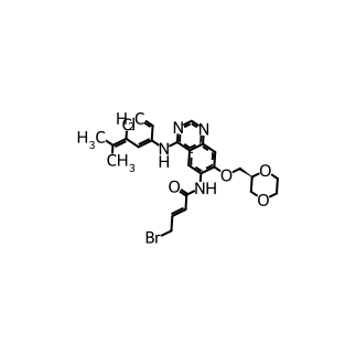 C=C/C(=C\C(Cl)=C(C)C)Nc1ncnc2cc(OC[C@@H]3COCCO3)c(NC(=O)/C=C/CBr)cc12